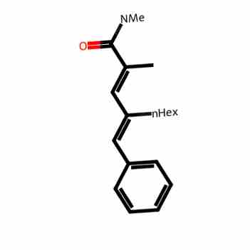 CCCCCCC(=C\c1ccccc1)/C=C(\C)C(=O)NC